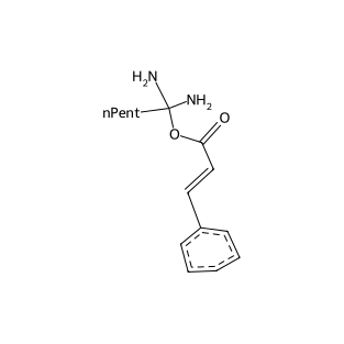 CCCCCC(N)(N)OC(=O)C=Cc1ccccc1